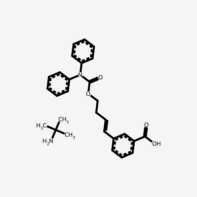 CC(C)(C)N.O=C(O)c1cccc(C=CCCOC(=O)N(c2ccccc2)c2ccccc2)c1